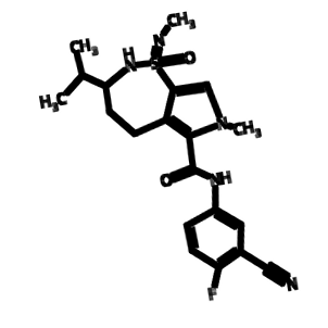 CN=S1(=O)NC(C(C)C)CCc2c1cn(C)c2C(=O)Nc1ccc(F)c(C#N)c1